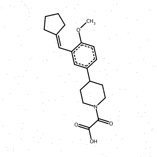 COc1ccc(C2CCN(C(=O)C(=O)O)CC2)cc1C=C1CCCC1